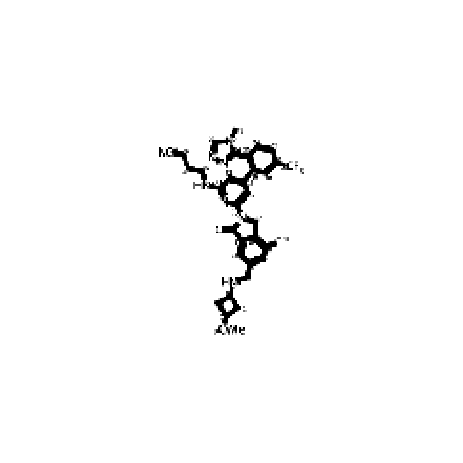 COC1CC(NCc2cc(F)c3c(c2)C(=O)N(c2cc(-c4cc(C(F)(F)F)ccc4-c4nncn4C)cc(NCCCC#N)n2)C3)C1